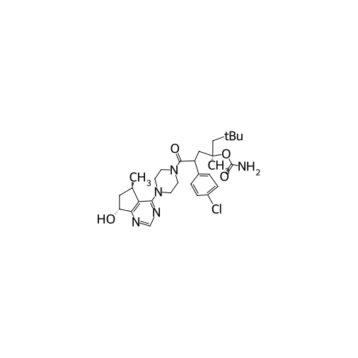 C[C@@H]1C[C@@H](O)c2ncnc(N3CCN(C(=O)C(C[C@@](C)(CC(C)(C)C)OC(N)=O)c4ccc(Cl)cc4)CC3)c21